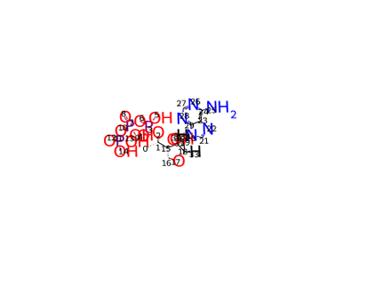 C[C@H](OP(=O)(O)OP(=O)(O)OP(=O)(O)O)[C@@]12CO[C@@H]([C@H](n3cnc4c(N)ncnc43)O1)[C@@H]2O